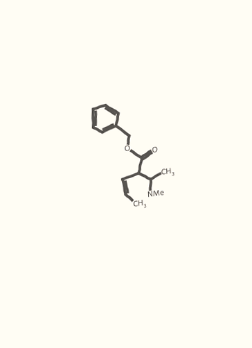 C/C=C\C(C(=O)OCc1ccccc1)C(C)NC